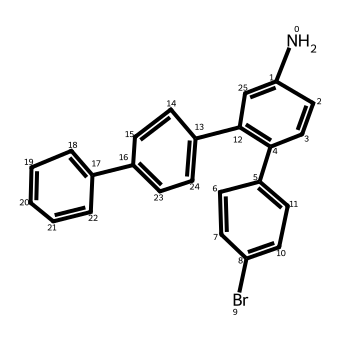 Nc1ccc(-c2ccc(Br)cc2)c(-c2ccc(-c3ccccc3)cc2)c1